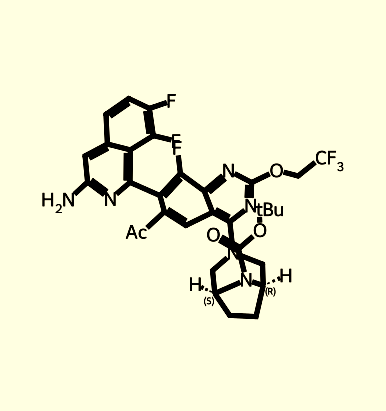 CC(=O)c1cc2c(N3C[C@H]4CC[C@@H](C3)N4C(=O)OC(C)(C)C)nc(OCC(F)(F)F)nc2c(F)c1-c1nc(N)cc2ccc(F)c(F)c12